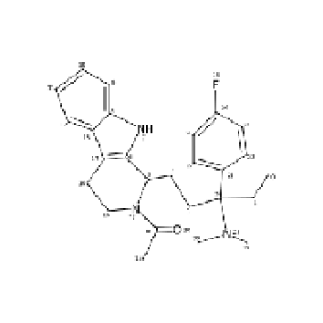 CCC(CCC1c2[nH]c3ccccc3c2CCN1C(C)=O)(c1ccc(F)cc1)N(C)C